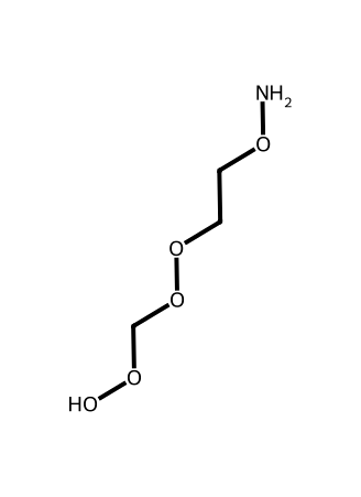 NOCCOOCOO